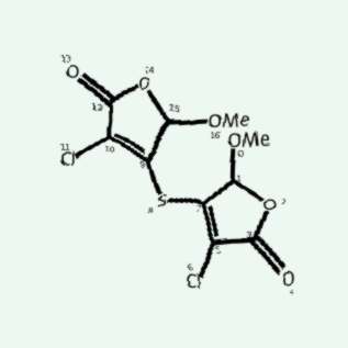 COC1OC(=O)C(Cl)=C1SC1=C(Cl)C(=O)OC1OC